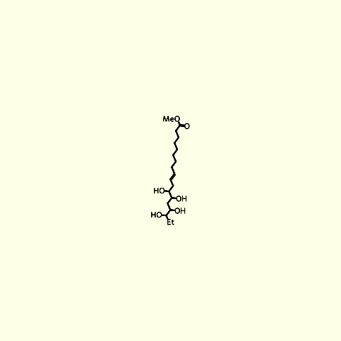 CCC(O)C(O)CC(O)C(O)CC=CCCCCCCCC(=O)OC